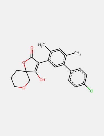 Cc1cc(C)c(-c2ccc(Cl)cc2)cc1C1=C(O)C2(CCCOC2)OC1=O